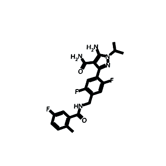 Cc1ccc(F)cc1C(=O)NCc1cc(F)c(-c2nn(C(C)C)c(N)c2C(N)=O)cc1F